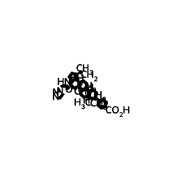 C=C(C)[C@@H]1CC[C@]2(NC(=O)CN3CCN=N3)CC[C@]3(C)[C@H](CC[C@@H]4[C@@]5(C)CC=C(c6ccc(C(=O)O)cc6)C(C)(C)[C@@H]5CC[C@]43C)[C@@H]12